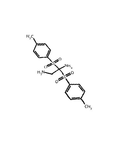 Cc1ccc(S(=O)(=O)C(N)(CN)S(=O)(=O)c2ccc(C)cc2)cc1